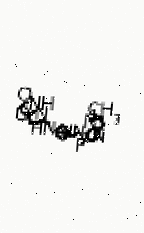 Cc1ccc2ncc(F)c(NCC34CCC(NCc5ccc6c(n5)NC(=O)CO6)(CC3)CO4)c2n1